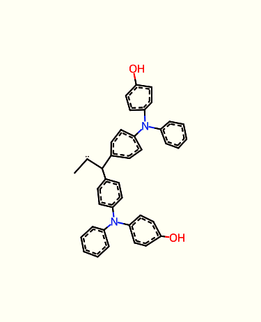 C[C]C(c1ccc(N(c2ccccc2)c2ccc(O)cc2)cc1)c1ccc(N(c2ccccc2)c2ccc(O)cc2)cc1